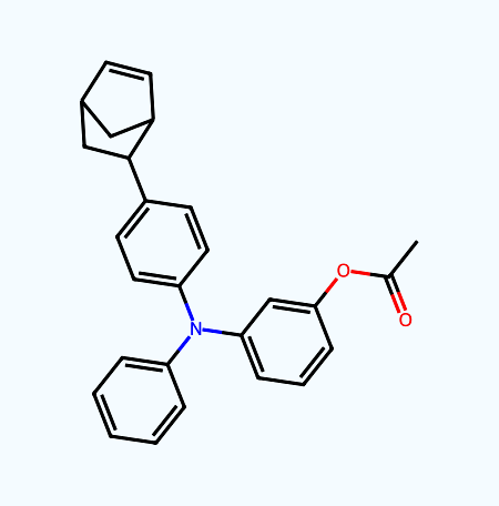 CC(=O)Oc1cccc(N(c2ccccc2)c2ccc(C3CC4C=CC3C4)cc2)c1